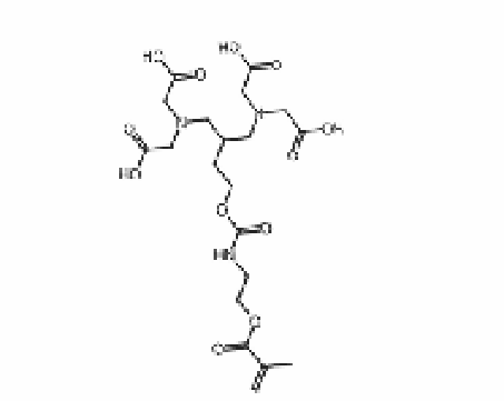 C=C(C)C(=O)OCCNC(=O)OCCC(CN(CC(=O)O)CC(=O)O)CN(CC(=O)O)CC(=O)O